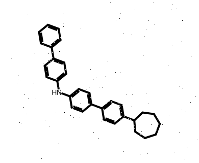 c1ccc(-c2ccc(Nc3ccc(-c4ccc(C5CCCCCC5)cc4)cc3)cc2)cc1